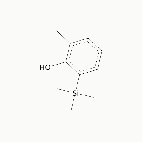 Cc1cccc([Si](C)(C)C)c1O